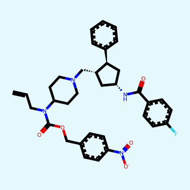 C=CCN(C(=O)OCc1ccc([N+](=O)[O-])cc1)C1CCN(C[C@H]2C[C@@H](NC(=O)c3ccc(F)cc3)C[C@@H]2c2ccccc2)CC1